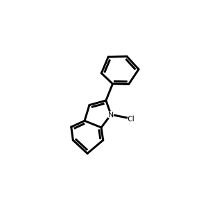 Cln1c(-c2ccccc2)cc2ccccc21